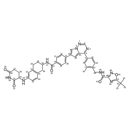 Cc1cc(-c2ncnn3cc(-c4ccc(C(=O)NC5CCc6cc(NC7CCC(=O)NC7=O)ccc6C5)cc4)cc23)ccc1CNC(=O)c1noc(C(C)(C)C)n1